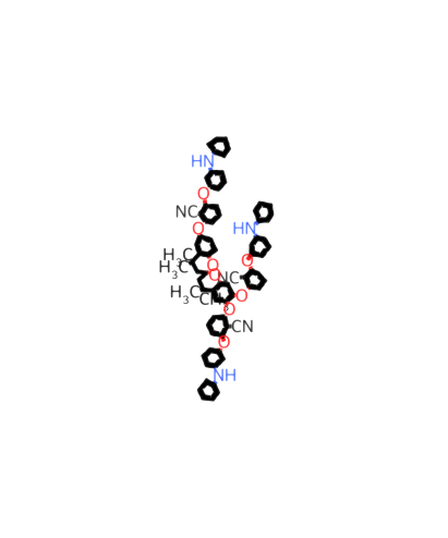 CC1(C)CC2(CC(C)(C)c3cc(Oc4cccc(Oc5cccc(Nc6ccccc6)c5)c4C#N)c(Oc4cccc(Oc5cccc(Nc6ccccc6)c5)c4C#N)cc3O2)Oc2ccc(Oc3cccc(Oc4cccc(Nc5ccccc5)c4)c3C#N)cc21